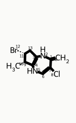 C=C1NC2=C(NC=C1Cl)[C@H](C)[C@H](Br)C2